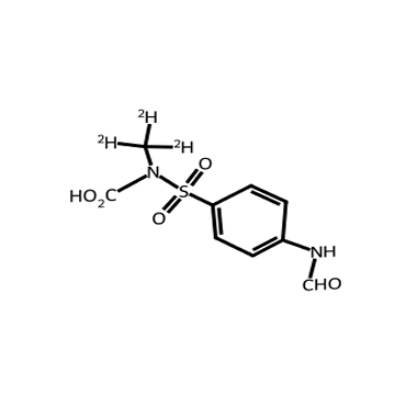 [2H]C([2H])([2H])N(C(=O)O)S(=O)(=O)c1ccc(NC=O)cc1